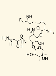 C[C@@H]1C(O)[C@@H](OC2C(O)C(O[C@H]3O[C@H](CCC(=N)CF)CCC3N)[C@@H](N)C[C@H]2NC(=O)[C@@H](O)CNN)OCC1(C)O